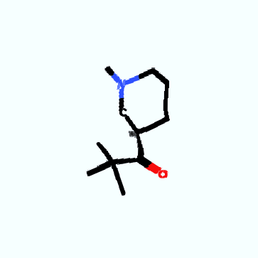 CN1CCC[C@@H](C(=O)C(C)(C)C)C1